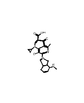 CNC1C=CCC2CN(c3nc(C)c4c(=O)c(C(=O)O)cn(C5CC5)c4c3Cl)CC21